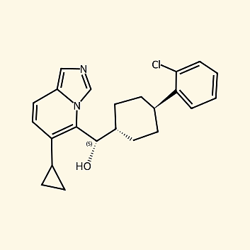 O[C@H](c1c(C2CC2)ccc2cncn12)[C@H]1CC[C@H](c2ccccc2Cl)CC1